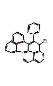 CCC1C(c2ccccc2)=C(c2ccccc2)c2c(-c3ccccc3)ccc3cccc1c23